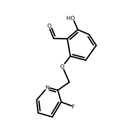 O=Cc1c(O)cccc1OCc1ncccc1F